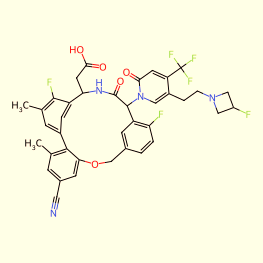 Cc1cc2cc(c1F)C(CC(=O)O)NC(=O)C(n1cc(CCN3CC(F)C3)c(C(F)(F)F)cc1=O)c1cc(ccc1F)COc1cc(C#N)cc(C)c1-2